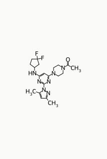 CC(=O)N1CCN(c2cc(NC3CCC(F)(F)C3)nc(-n3nc(C)cc3C)n2)CC1